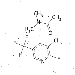 CC(=O)N(C)C.Fc1ncc(C(F)(F)F)cc1Cl